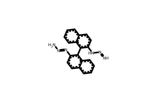 N=NNc1ccc2ccccc2c1-c1c(N=NN)ccc2ccccc12